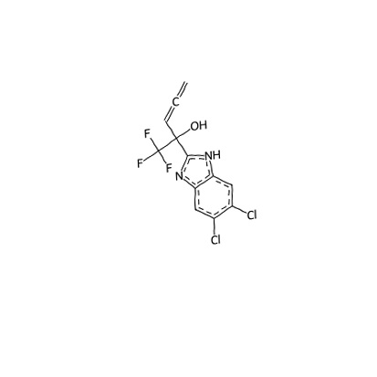 C=C=CC(O)(c1nc2cc(Cl)c(Cl)cc2[nH]1)C(F)(F)F